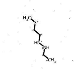 CCNNCCSC